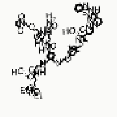 CCOP(=O)(CCCC(=O)N[C@@H](CC(=O)N(C)Cc1cc(NC(=O)[C@H](CCCNC(N)=O)NC(=O)CNC(=O)CCOCCN2C(=O)C=CC2=O)ccc1C[N+](C)(C)CCOC12CC3(C)CC(C)(C1)C(Cn1ncc(-c4ccc(N5CCCc6c5nnc(Nc5nc7ccccc7s5)c6C)nc4C(=O)O)c1C)(C3)C2)C(=O)O)OCC